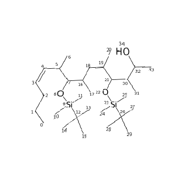 CCC/C=C\C(C)C(O[Si](C)(C)C(C)(C)C)C(C)CC(C)C(O[Si](C)(C)C(C)(C)C)C(C)C(C)O